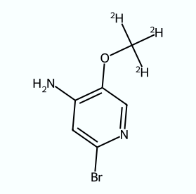 [2H]C([2H])([2H])Oc1cnc(Br)cc1N